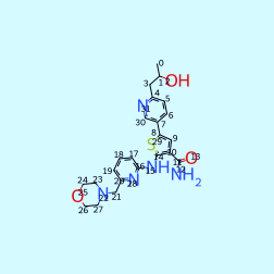 CC(O)Cc1ccc(-c2cc(C(N)=O)c(Nc3cccc(CN4CCOCC4)n3)s2)cn1